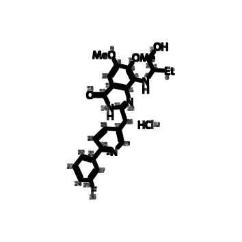 CCC(CO)Nc1c(OC)c(OC)cc2c(=O)[nH]c(Cc3ccc(-c4cccc(F)c4)nc3)nc12.Cl